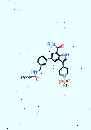 CCCC(C)C(=O)NCc1cccc(-c2cc(C(N)=O)c3[nH]cc(C4CCN(S(=O)(=O)CC)CC4)c3c2)c1